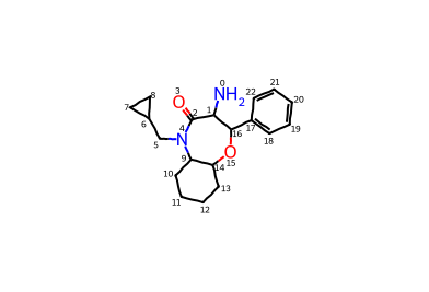 NC1C(=O)N(CC2CC2)C2CCCCC2OC1c1ccccc1